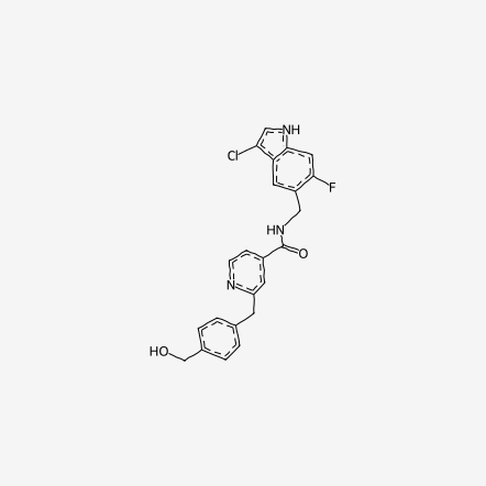 O=C(NCc1cc2c(Cl)c[nH]c2cc1F)c1ccnc(Cc2ccc(CO)cc2)c1